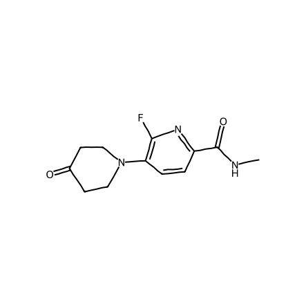 CNC(=O)c1ccc(N2CCC(=O)CC2)c(F)n1